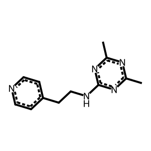 Cc1nc(C)nc(NCCc2ccncc2)n1